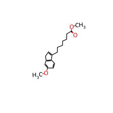 COC(=O)CCCCCCC1=CCc2cc(OC)ccc21